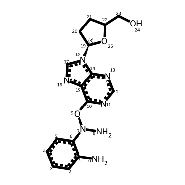 Nc1ccccc1N(N)Oc1ncnc2c1ncn2[C@H]1CCC(CO)O1